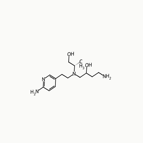 C[C@@H](CO)N(CCc1ccc(N)nc1)CC(O)CCN